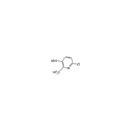 CSc1ccc(Cl)nc1C(=O)O